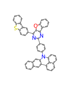 c1ccc2cc3c(cc2c1)-c1cccc2cccc(c12)N3c1ccc(-c2nc(-c3ccc4sc5ccccc5c4c3)c3oc4ccccc4c3n2)cc1